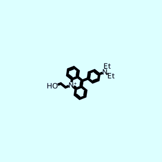 CCN(CC)c1ccc(-c2c3ccccc3[n+](CCO)c3ccccc23)cc1